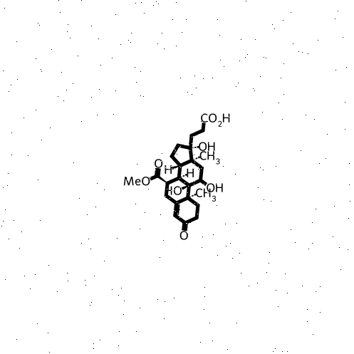 COC(=O)[C@@H]1CC2=CC(=O)CC[C@]2(C)[C@@]2(O)C(O)C[C@@]3(C)[C@@H](CC[C@@]3(O)CCC(=O)O)[C@H]12